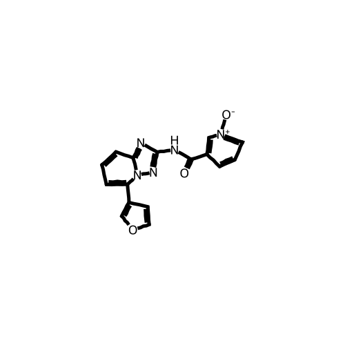 O=C(Nc1nc2cccc(-c3ccoc3)n2n1)c1ccc[n+]([O-])c1